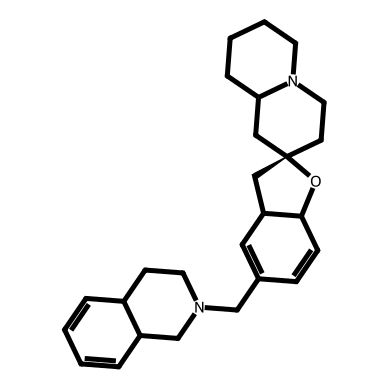 C1=CC2CCN(CC3=CC4C[C@@]5(CCN6CCCCC6C5)OC4C=C3)CC2C=C1